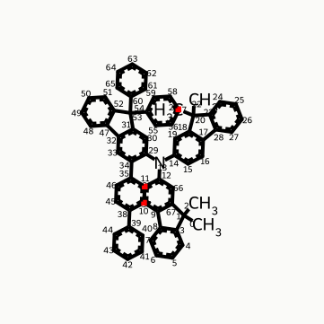 CC1(C)c2ccccc2-c2ccc(N(c3ccc4c(c3)C(C)(C)c3ccccc3-4)c3cc4c(cc3-c3ccc(-c5ccccc5)cc3)-c3ccccc3C4(c3ccccc3)c3ccccc3)cc21